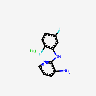 Cl.Nc1cccnc1Nc1cc(F)ccc1F